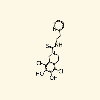 Oc1c(O)c(Cl)c2c(c1Cl)CCN(C(=S)NCCc1ccccn1)C2